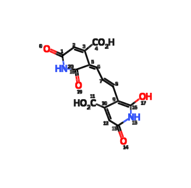 O=C1C=C(C(=O)O)C(=CC=Cc2c(C(=O)O)cc(=O)[nH]c2O)C(=O)N1